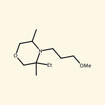 CCC1(C)COCC(C)N1CCCOC